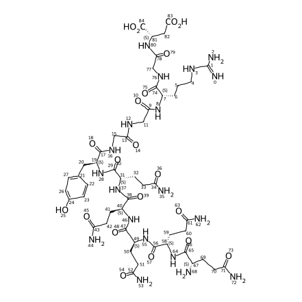 N=C(N)NCCC[C@H](NC(=O)CNC(=O)CNC(=O)[C@H](Cc1ccc(O)cc1)NC(=O)[C@H](CCC(N)=O)NC(=O)[C@H](CCC(N)=O)NC(=O)[C@H](CCC(N)=O)NC(=O)[C@H](CCC(N)=O)NC(=O)[C@@H](N)CCC(N)=O)C(=O)NCC(=O)N[C@@H](CC(=O)O)C(=O)O